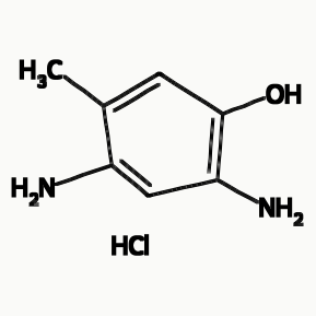 Cc1cc(O)c(N)cc1N.Cl